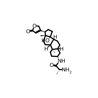 C[C@@H](N)C(=O)N[C@@H]1CC[C@]2(C)[C@H](CC[C@@H]3[C@H]2CC[C@]2(C)[C@@H](C4=CC(=O)OC4)CC[C@@]32O)C1